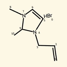 Br.C=CCN1C=CN(C)C1C